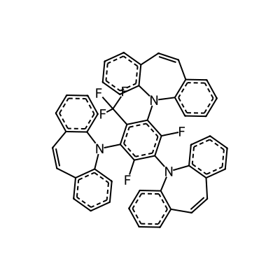 Fc1c(N2c3ccccc3C=Cc3ccccc32)c(F)c(N2c3ccccc3C=Cc3ccccc32)c(C(F)(F)F)c1N1c2ccccc2C=Cc2ccccc21